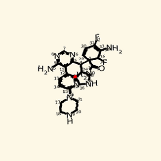 NC(=O)C1(C(c2ncnc(N)c2-c2ccc(N3CCNCC3)nc2)C2CCNC2)C=CC(F)=C(N)C1F